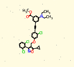 CCN(CC)c1cc(C#Cc2ccc(OCc3c(-c4c(Cl)cccc4Cl)noc3C3CC3)cc2Cl)cc(C(=O)OC)c1